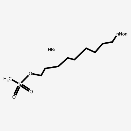 Br.CCCCCCCCCCCCCCCCCCOS(C)(=O)=O